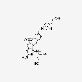 CCC[C@@H](CCO)Nc1nc(N)nc2cnn(Cc3cnc(CN4C[C@H]5C4CN5CCO)cc3OC)c12